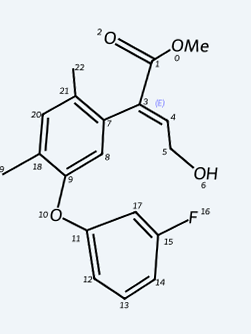 COC(=O)/C(=C/CO)c1cc(Oc2cccc(F)c2)c(C)cc1C